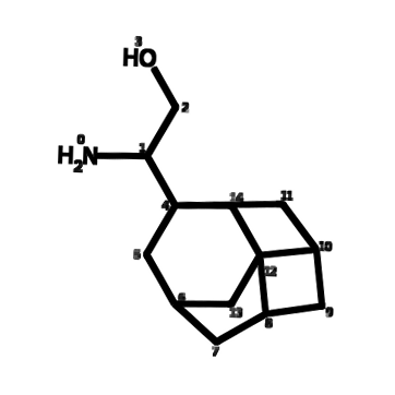 NC(CO)C12CC3CC4CC(C1)C4(C3)C2